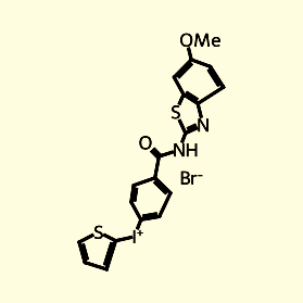 COc1ccc2nc(NC(=O)c3ccc([I+]c4cccs4)cc3)sc2c1.[Br-]